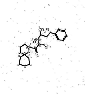 CCOC(=O)C(CCc1ccccc1)N[C@@H](C)C(=O)[C@]1(C(=O)O)CCCC2(CCCCC2)N1